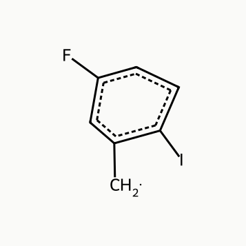 [CH2]c1cc(F)ccc1I